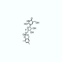 Cc1cc(C)c2c(c1)COP(=O)(OC[C@@]1(F)O[C@@H](N3C=C(CO)C(=O)NC3O)[C@H](O)[C@@H]1O)O2